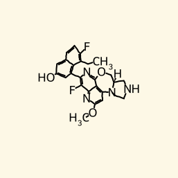 CCc1c(F)ccc2cc(O)cc(-c3nc4c5c(cc(OC)nc5c3F)N3CCNC[C@H]3CO4)c12